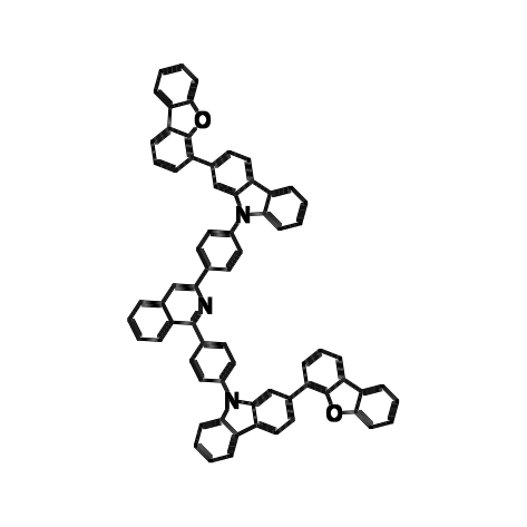 c1ccc2c(-c3ccc(-n4c5ccccc5c5ccc(-c6cccc7c6oc6ccccc67)cc54)cc3)nc(-c3ccc(-n4c5ccccc5c5ccc(-c6cccc7c6oc6ccccc67)cc54)cc3)cc2c1